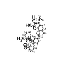 COc1cc(-c2ccc([C@@H]3CCc4ccc(C(C5CC5)[C@H](C)C(=O)O)cc4O3)cc2CN2CCCCC2(C)C)ccn1